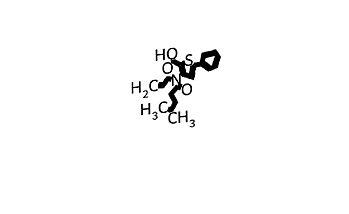 C=CCN(C(=O)CCC(C)C)c1cc(-c2ccccc2)sc1C(=O)O